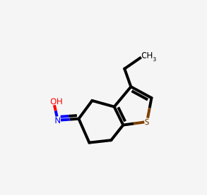 CCc1csc2c1CC(=NO)CC2